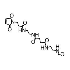 O=CNCCNC(=O)CCC(=O)NCCNC(=O)CCN1C(=O)C=CC1=O